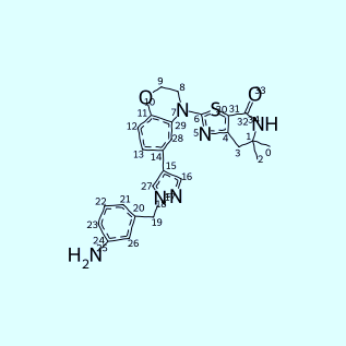 CC1(C)Cc2nc(N3CCOc4ccc(-c5cnn(Cc6cccc(N)c6)c5)cc43)sc2C(=O)N1